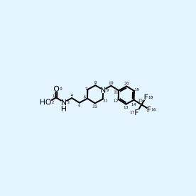 O=C(O)NCCC1CCN(Cc2ccc(C(F)(F)F)cc2)CC1